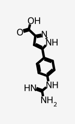 N=C(N)Nc1ccc(-c2cc(C(=O)O)n[nH]2)cc1